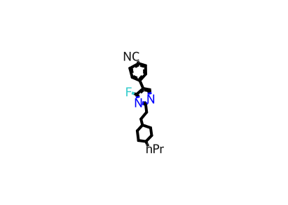 CCCC1CCC(CCc2ncc(-c3ccc(C#N)cc3)c(F)n2)CC1